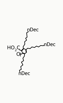 CCCCCCCCCCCCCCCCCCc1cc(CCCCCCCCCCCCCCCCCC)c(I=O)c(CC(=O)O)c1CCCCCCCCCCCCCCCCCC